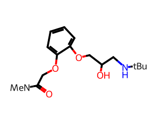 CNC(=O)COc1ccccc1OCC(O)CNC(C)(C)C